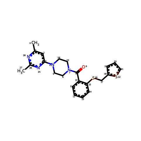 Cc1cc(N2CCN(C(=O)c3ccccc3SCc3cccs3)CC2)nc(C)n1